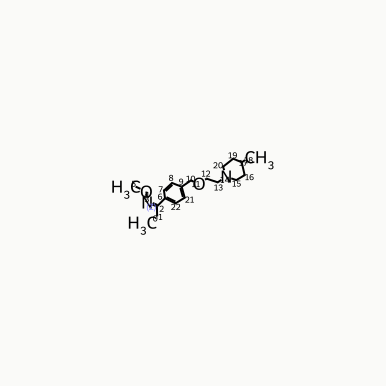 CC/C(=N/OC)c1ccc(COCCN2CCC(C)CC2)cc1